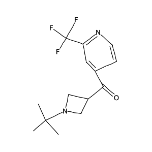 CC(C)(C)N1CC(C(=O)c2ccnc(C(F)(F)F)c2)C1